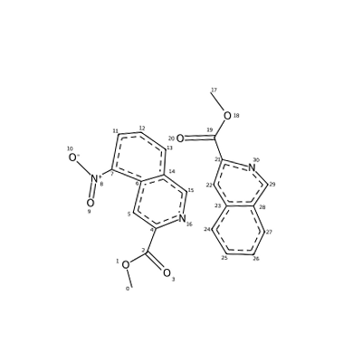 COC(=O)c1cc2c([N+](=O)[O-])cccc2cn1.COC(=O)c1cc2ccccc2cn1